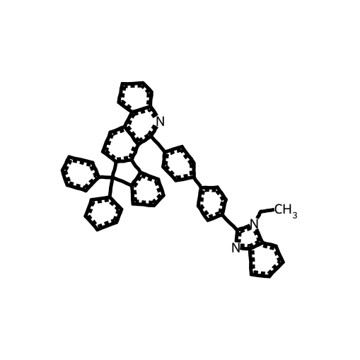 CCn1c(-c2ccc(-c3ccc(-c4nc5ccccc5c5ccc6c(c45)-c4ccccc4C6(c4ccccc4)c4ccccc4)cc3)cc2)nc2ccccc21